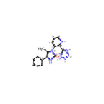 Cc1c(-c2ccccc2)[nH]c(=O)n1-c1cccnc1-c1nnn[nH]1